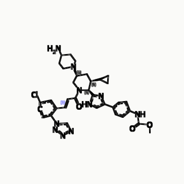 COC(=O)Nc1ccc(-c2c[nH]c([C@@H]3[C@H](C4CC4)C[C@H](N4CCC(N)CC4)CN3C(=O)/C=C/c3cc(Cl)ccc3-n3cnnn3)n2)cc1